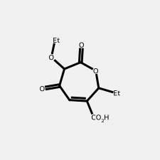 CCOC1C(=O)C=C(C(=O)O)C(CC)OC1=O